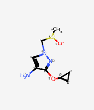 C[S+]([O-])Cn1cc(N)c(OC2CC2)n1